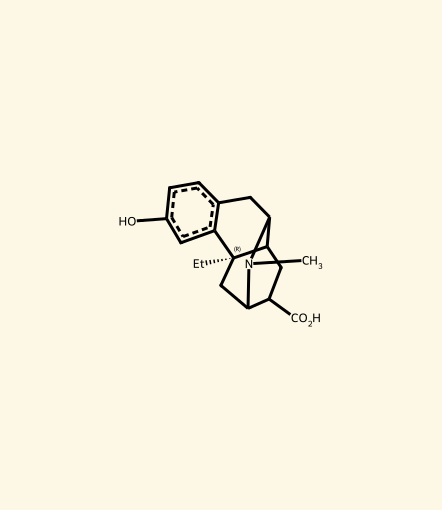 CC[C@@]12CC3C(C(=O)O)CC1C(Cc1ccc(O)cc12)N3C